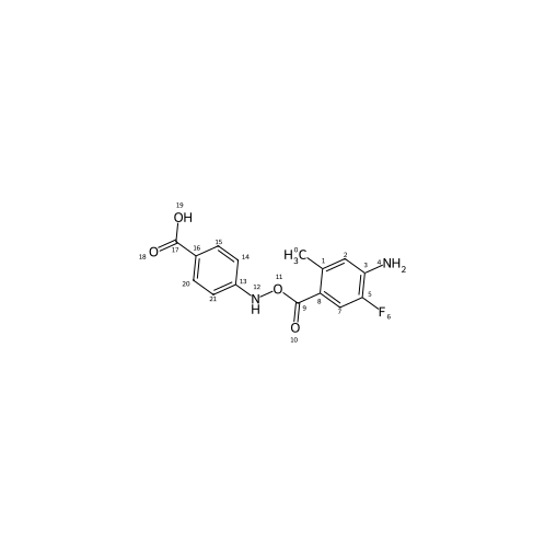 Cc1cc(N)c(F)cc1C(=O)ONc1ccc(C(=O)O)cc1